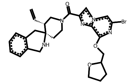 C=C[C@@H]1CN(C(=O)c2cn3cc(Br)nc(OCC4CCCO4)c3n2)CC[C@]12Cc1ccccc1CN2